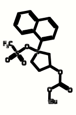 CC(C)(C)OC(=O)OC1CCS(OS(=O)(=O)C(F)(F)F)(c2cccc3ccccc23)C1